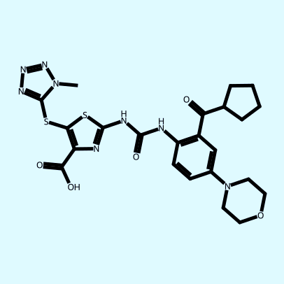 Cn1nnnc1Sc1sc(NC(=O)Nc2ccc(N3CCOCC3)cc2C(=O)C2CCCC2)nc1C(=O)O